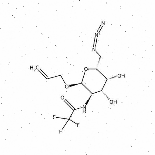 C=CCO[C@H]1O[C@H](CN=[N+]=[N-])[C@H](O)[C@H](O)[C@H]1NC(=O)C(F)(F)F